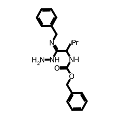 CC(C)C(NC(=O)OCc1ccccc1)/C(=N\Cc1ccccc1)NN